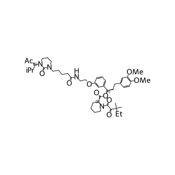 CCC(C)(C)C(=O)C(=O)N1CCCC[C@H]1C(=O)O[C@H](CCc1ccc(OC)c(OC)c1)c1cccc(OCCNC(=O)CCCCN2CCCN([C@H](C(C)=O)C(C)C)C2=O)c1